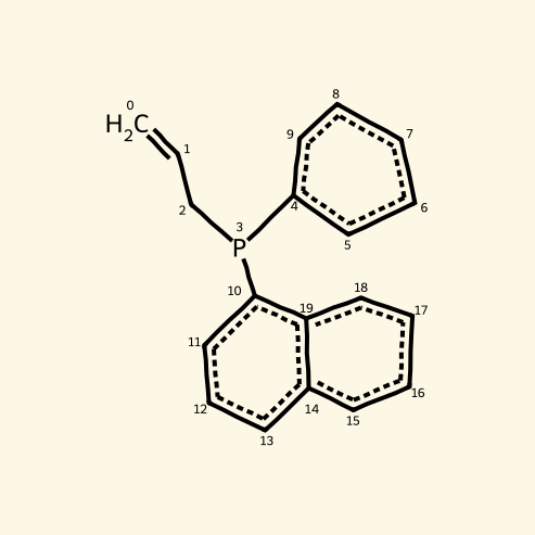 C=CCP(c1ccccc1)c1cccc2ccccc12